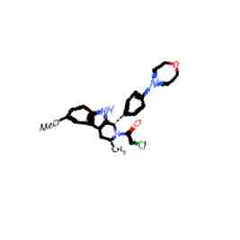 COc1ccc2[nH]c3c(c2c1)C[C@H](C)N(C(=O)CCl)[C@H]3c1ccc(N2CCOCC2)cc1